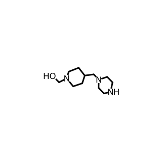 OCN1CCC(CN2CCNCC2)CC1